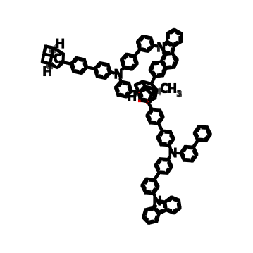 C[C@@H]1CC2(c3ccc(-c4ccc(N(c5ccc(-c6cccc(-n7c8ccccc8c8ccccc87)c6)cc5)c5cccc(-c6ccccc6)c5)cc4)cc3)CC3C(C[C@H]3C2)C1c1ccc2c(ccc3c4ccccc4n(-c4cccc(-c5ccc(N(c6ccc(-c7ccc(C89C[C@@H]%10CC%11C[C@@H](C8)C%11%10C9)cc7)cc6)c6cccc(-c7ccccc7)c6)cc5)c4)c23)c1